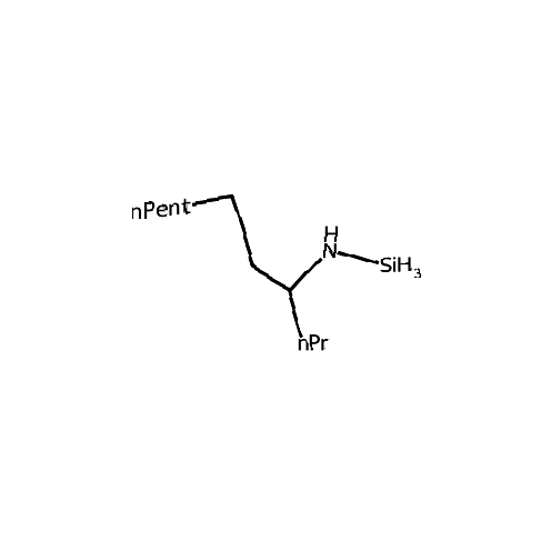 CCCCCCCC(CCC)N[SiH3]